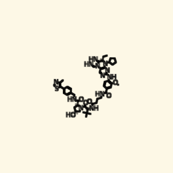 CC[C@@H]1C(=N)N(C=N)c2cnc(Nc3ccc(C(=O)NCCCC(=O)N[C@H](C(=O)N4C[C@H](O)C[C@H]4C(=O)NCc4ccc(-c5scnc5C)cc4)C(C)(C)C)cc3OC)nc2N1C1CCCC1